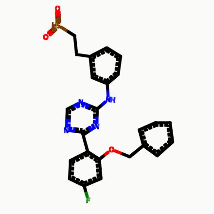 O=[SH](=O)CCc1cccc(Nc2ncnc(-c3ccc(F)cc3OCc3ccccc3)n2)c1